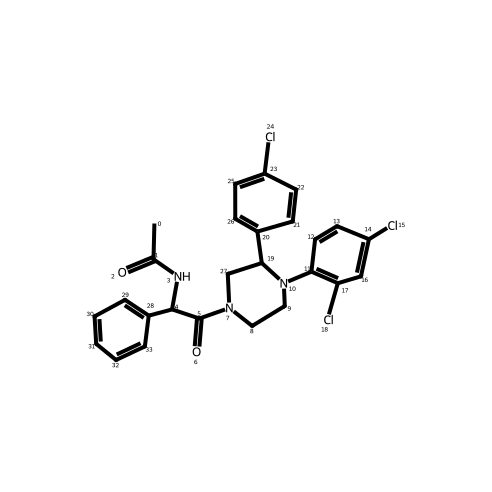 CC(=O)NC(C(=O)N1CCN(c2ccc(Cl)cc2Cl)C(c2ccc(Cl)cc2)C1)c1ccccc1